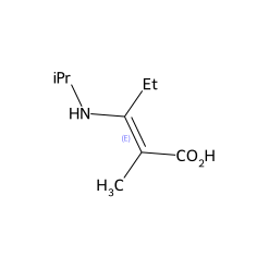 CC/C(NC(C)C)=C(/C)C(=O)O